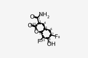 NC(=O)c1cc2cc(F)c(O)c(F)c2oc1=O